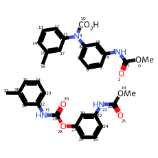 COC(=O)Nc1cccc(N(C(=O)O)c2cccc(C)c2)c1.COC(=O)Nc1cccc(OC(=O)Nc2cccc(C)c2)c1